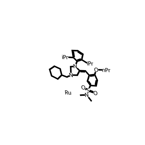 CCCOc1ccc(S(=O)(=O)N(C)C)cc1C=C1CN(CC2CCCCC2)CN1c1c(C(C)C)cccc1C(C)C.[Ru]